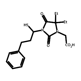 CCC1(CC)C(=O)N(C(S)CCc2ccccc2)C(=O)N1CC(=O)O